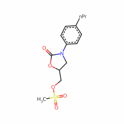 CCCc1ccc(N2CC(COS(C)(=O)=O)OC2=O)cc1